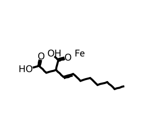 CCCCCCC=CC(CC(=O)O)C(=O)O.[Fe]